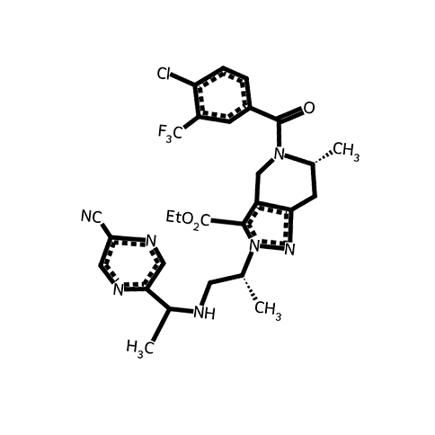 CCOC(=O)c1c2c(nn1[C@H](C)CNC(C)c1cnc(C#N)cn1)C[C@@H](C)N(C(=O)c1ccc(Cl)c(C(F)(F)F)c1)C2